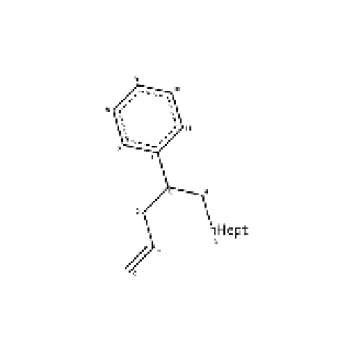 C=CCC(CCCCCCCC)c1ccccc1